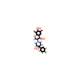 Cc1cc2c(c(C)c1O)OCC(N1CCC(O)(c3ccc(F)cc3)CC1)C2O